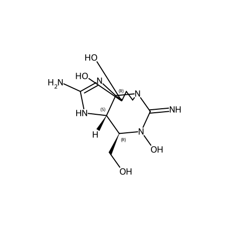 N=C1N(O)[C@@H](CO)[C@@H]2NC(N)=N[C@]23N1CCC3(O)O